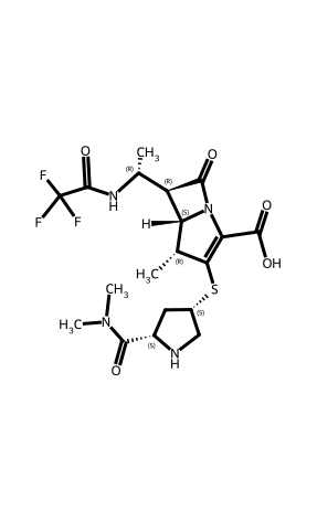 C[C@@H](NC(=O)C(F)(F)F)[C@H]1C(=O)N2C(C(=O)O)=C(S[C@@H]3CN[C@H](C(=O)N(C)C)C3)[C@H](C)[C@H]12